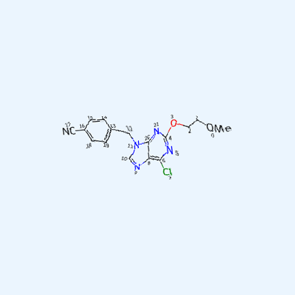 COCCOc1nc(Cl)c2ncn(Cc3ccc(C#N)cc3)c2n1